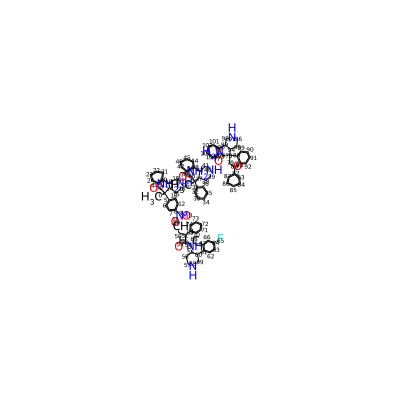 CC(C(N)=O)(c1ccc([N+](=O)[O-])cc1)C1CCNCC1c1ccccc1.CC(C(N)=O)(c1ccccc1)C1CCNCC1c1ccccc1.CCC(C(=O)NC1CCNCC1c1ccc(F)cc1C)c1ccccc1.NC(=O)C(CC(=O)c1ccccc1)(c1ccccc1)C1CCNCC1c1ccccc1